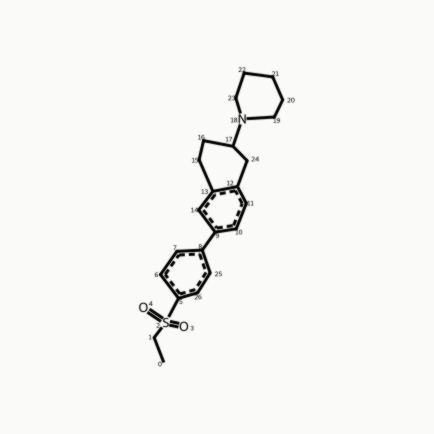 CCS(=O)(=O)c1ccc(-c2ccc3c(c2)CCC(N2CCCCC2)C3)cc1